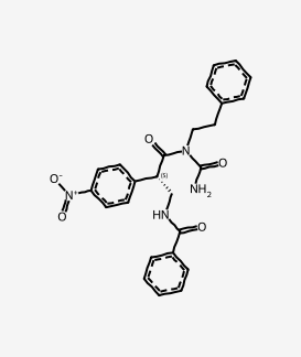 NC(=O)N(CCc1ccccc1)C(=O)[C@H](CNC(=O)c1ccccc1)c1ccc([N+](=O)[O-])cc1